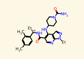 CC[C@@H](NC(=O)c1cnc2c(cnn2CC)c1NC1CCN(C(N)=O)CC1)c1ccc(C)cc1C